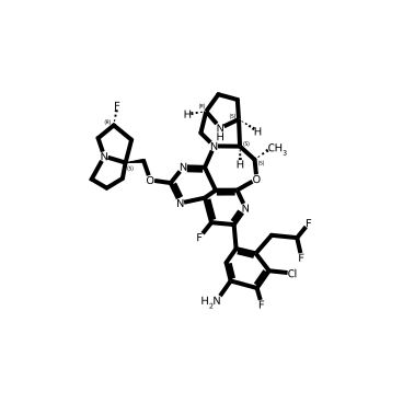 C[C@@H]1Oc2nc(-c3cc(N)c(F)c(Cl)c3CC(F)F)c(F)c3nc(OC[C@@]45CCCN4C[C@H](F)C5)nc(c23)N2C[C@H]3CC[C@H](N3)[C@@H]12